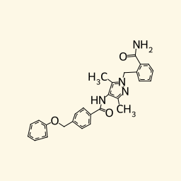 Cc1nn(Cc2ccccc2C(N)=O)c(C)c1NC(=O)c1ccc(COc2ccccc2)cc1